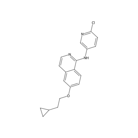 Clc1ccc(Nc2nccc3cc(OCCC4CC4)ccc23)cn1